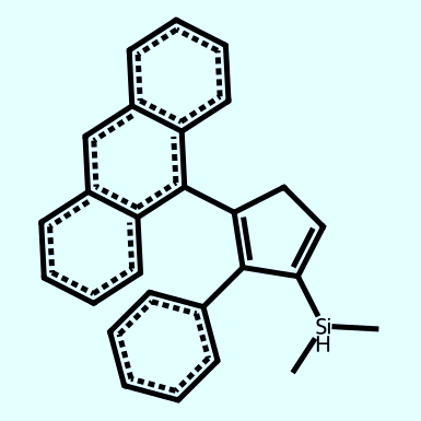 C[SiH](C)C1=CCC(c2c3ccccc3cc3ccccc23)=C1c1ccccc1